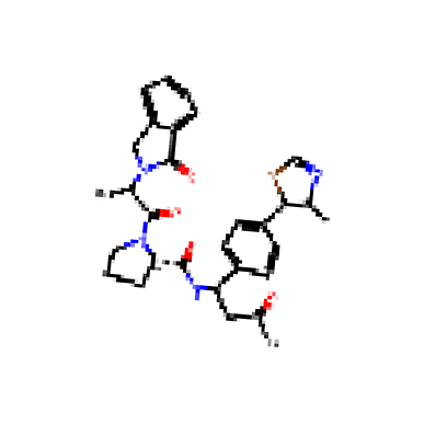 CC(C)C(=O)CC(NC(=O)[C@@H]1CCCN1C(=O)C(C(C)C)N1Cc2ccccc2C1=O)c1ccc(C2SC=NC2C)cc1